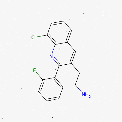 NCCc1cc2cccc(Cl)c2nc1-c1ccccc1F